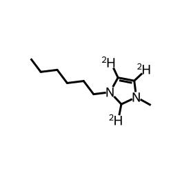 [2H]C1=C([2H])N(CCCCCC)C([2H])N1C